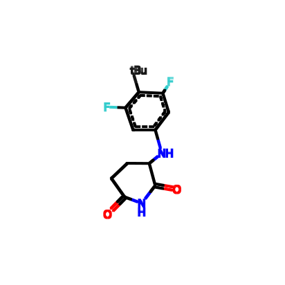 CC(C)(C)c1c(F)cc(NC2CCC(=O)NC2=O)cc1F